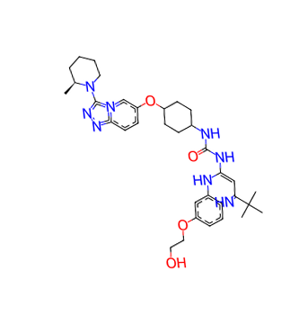 C[C@H]1CCCCN1c1nnc2ccc(OC3CCC(NC(=O)N/C(=C/C(=N)C(C)(C)C)Nc4cccc(OCCO)c4)CC3)cn12